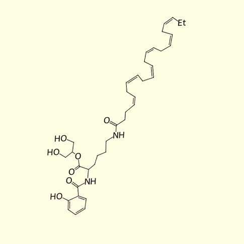 CC/C=C\C/C=C\C/C=C\C/C=C\C/C=C\C/C=C\CCC(=O)NCCCCC(NC(=O)c1ccccc1O)C(=O)OC(CO)CO